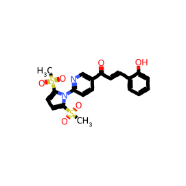 CS(=O)(=O)c1ccc(S(C)(=O)=O)n1-c1ccc(C(=O)/C=C/c2ccccc2O)cn1